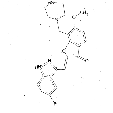 COc1ccc2c(c1CN1CCNCC1)O/C(=C\c1n[nH]c3ccc(Br)cc13)C2=O